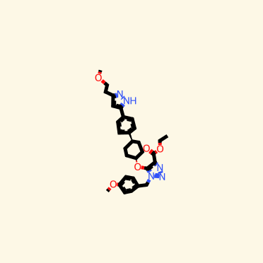 CCOC(=O)c1nnn(Cc2ccc(OC)cc2)c1O[C@H]1CC[C@H](c2ccc(-c3cc(CCOC)n[nH]3)cc2)CC1